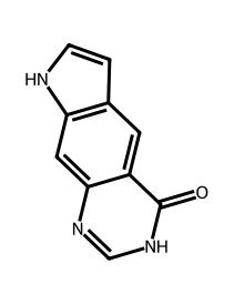 O=c1[nH]cnc2cc3[nH]ccc3cc12